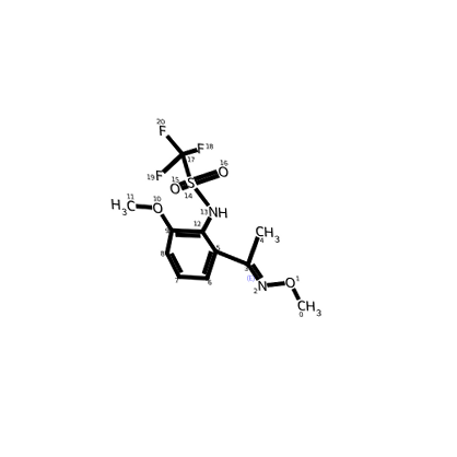 CO/N=C(\C)c1cccc(OC)c1NS(=O)(=O)C(F)(F)F